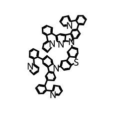 c1ccc(-c2ccccc2-c2ccc3c(c2)c2cc(-c4ccccc4-c4ccccn4)ccc2n3-c2ccc3sc4ccc(-n5c6ccc(-c7ccccc7-c7ccccn7)cc6c6cc(-c7ccccc7-c7ccccn7)cnc65)cc4c3c2)nc1